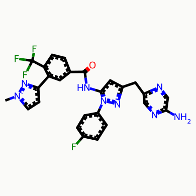 Cn1ccc(-c2cc(C(=O)Nc3cc(Cc4cnc(N)cn4)nn3-c3ccc(F)cc3)ccc2C(F)(F)F)n1